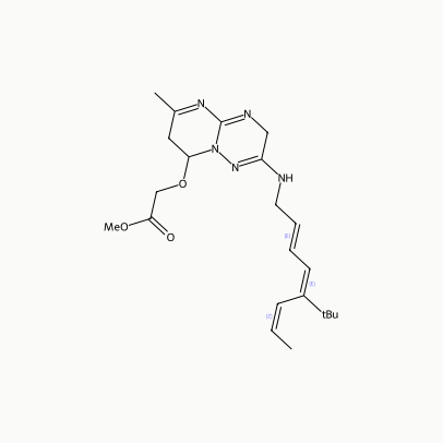 C\C=C/C(=C\C=C\CNC1=NN2C(=NC1)N=C(C)CC2OCC(=O)OC)C(C)(C)C